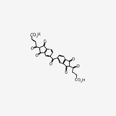 O=C(O)CCC(=O)C1C(=O)c2ccc(C(=O)c3ccc4c(c3)C(=O)C(C(=O)CCC(=O)O)C4=O)cc2C1=O